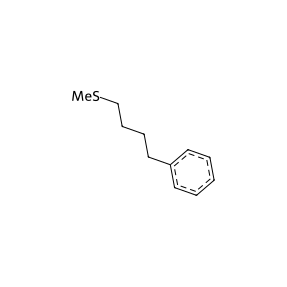 [CH2]SCCCCc1ccccc1